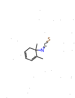 CC1=CC=CCC1(C)N=C=S